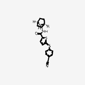 N#Cc1ccc(Sc2ccc(C(=O)N[C@@H]3C[C@H]4CC[C@@H]3N4)s2)cc1